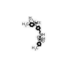 CCc1nc2c(C)c(C)ccc2n1-c1ccc(CCNC(=O)NS(=O)(=O)c2ccc(C)cc2)cc1